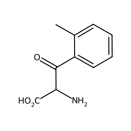 Cc1ccccc1C(=O)C(N)C(=O)O